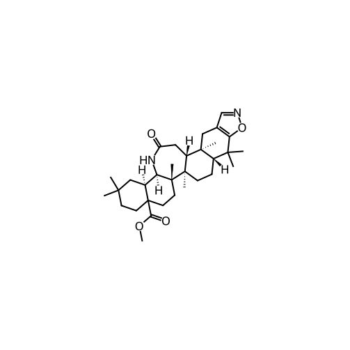 COC(=O)C12CCC(C)(C)C[C@H]1[C@H]1NC(=O)C[C@@H]3[C@@]4(C)Cc5cnoc5C(C)(C)[C@@H]4CC[C@@]3(C)[C@]1(C)CC2